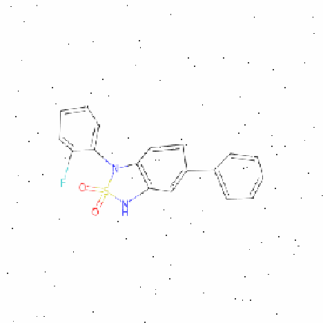 O=S1(=O)Nc2cc(-c3ccccc3)ccc2N1c1ccccc1F